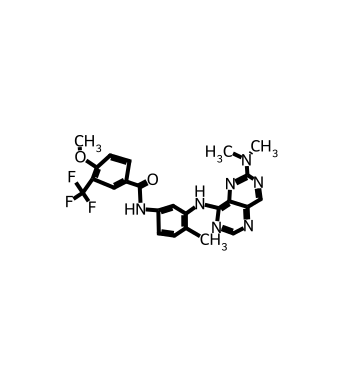 COc1ccc(C(=O)Nc2ccc(C)c(Nc3ncnc4cnc(N(C)C)nc34)c2)cc1C(F)(F)F